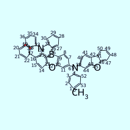 Cc1ccc(N(c2ccc3c(c2)Oc2ccc(-c4ccccc4)c4c2B3c2ccccc2N4c2ccccc2)c2ccc3c(c2)oc2ccccc23)cc1